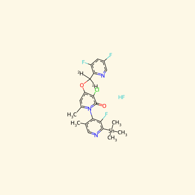 F.[2H]C([2H])(Oc1cc(C)n(-c2c(C)cn[c]([Sn]([CH3])([CH3])[CH3])c2F)c(=O)c1Cl)c1ncc(F)cc1F